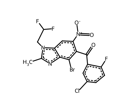 Cc1nc2c(Br)c(C(=O)c3cc(Cl)ccc3F)c([N+](=O)[O-])cc2n1CC(F)F